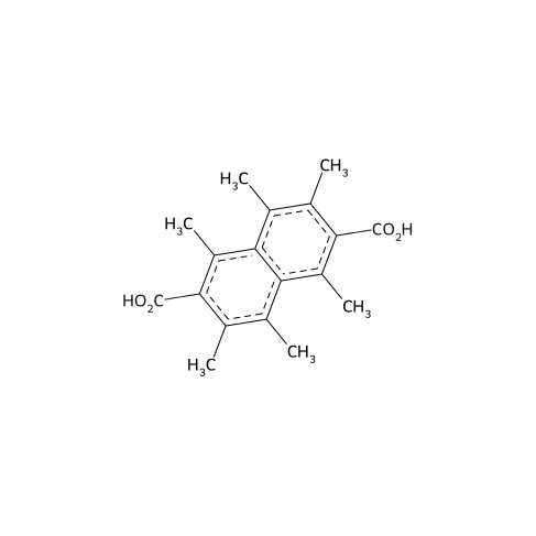 Cc1c(C(=O)O)c(C)c2c(C)c(C)c(C(=O)O)c(C)c2c1C